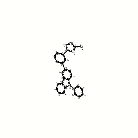 Brc1nnc(-c2cccc(-c3ccc4c(c3)c3ccccc3n4-c3ccccc3)c2)s1